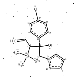 C=CC(C(O)(Cn1ccnn1)c1ccc(Cl)cc1)[Si](C)(C)C